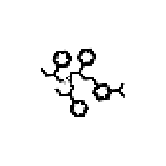 CCC([CH2][Al]([CH2]C(CC)c1ccccc1)[CH2]C(CCc1cccc(C(C)C)c1)c1ccccc1)c1ccccc1